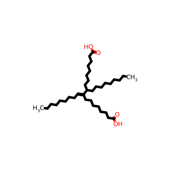 CCCCCCCC/C=C(\CCCCCCCC(=O)O)C(CCCCCCCCC)CCCCCCCC(=O)O